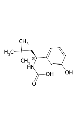 CC(C)(C)C[C@H](NC(=O)O)c1cccc(O)c1